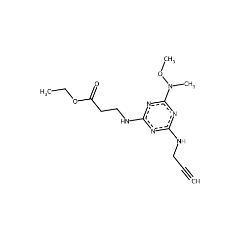 C#CCNc1nc(NCCC(=O)OCC)nc(N(C)OC)n1